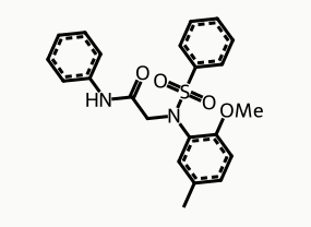 COc1ccc(C)cc1N(CC(=O)Nc1ccccc1)S(=O)(=O)c1ccccc1